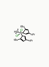 CCCC1=C[CH]([Ti]([Cl])([Cl])([CH]2C=C(CCC)C=C2C(C)(C)C)[SiH](C)C)C(C(C)(C)C)=C1